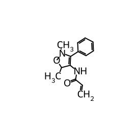 C=CC(=O)NC1=C(c2ccccc2)N(C)OC1C